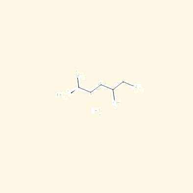 Cl.NCC(O)CC[C@H](N)C(=O)O